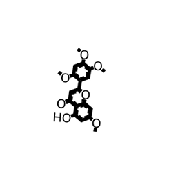 COc1cc(O)c2c(=O)cc(-c3cc(OC)c(OC)cc3OC)oc2c1